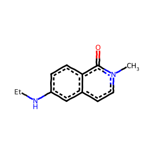 CCNc1ccc2c(=O)n(C)ccc2c1